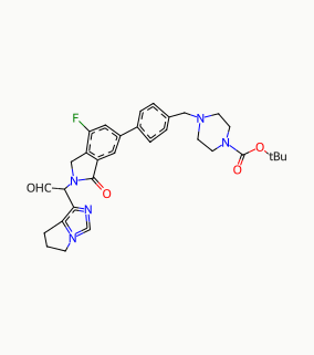 CC(C)(C)OC(=O)N1CCN(Cc2ccc(-c3cc(F)c4c(c3)C(=O)N(C(C=O)c3ncn5c3CCC5)C4)cc2)CC1